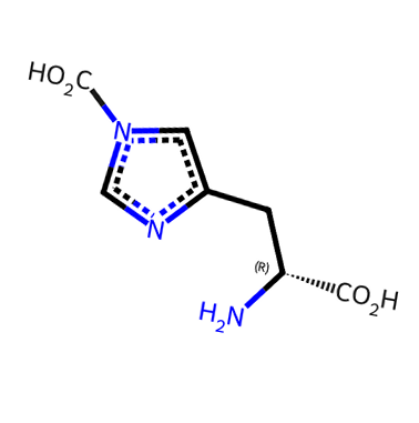 N[C@H](Cc1cn(C(=O)O)cn1)C(=O)O